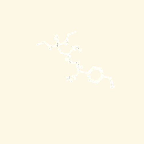 CCOP(=O)(C/C(N)=N/N=C(\N)c1ccc(C=O)cc1)OCC